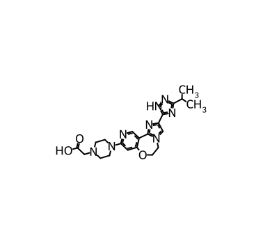 CC(C)c1n[nH]c(-c2cn3c(n2)-c2cnc(N4CCN(CC(=O)O)CC4)cc2OCC3)n1